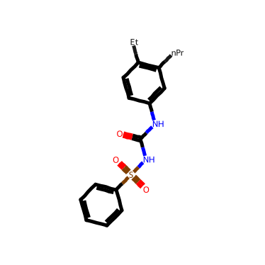 CCCc1cc(NC(=O)NS(=O)(=O)c2ccccc2)ccc1CC